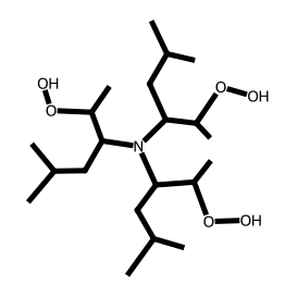 CC(C)CC(C(C)OO)N(C(CC(C)C)C(C)OO)C(CC(C)C)C(C)OO